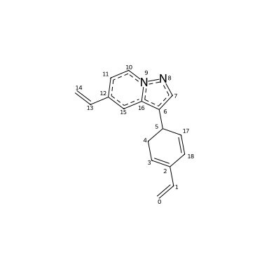 C=CC1=CCC(c2cnn3ccc(C=C)cc23)C=C1